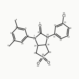 Cc1cc(C)cc(N2C(=O)N(c3cccc(Cl)c3)C3CS(=O)(=O)CC32)c1